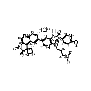 COc1ccc(S(=O)(=O)Nc2cc(-c3ccc4ncc5c(c4c3)C3(CCC3)C(=O)N5C)cnc2OCCCN(C)C)cn1.Cl